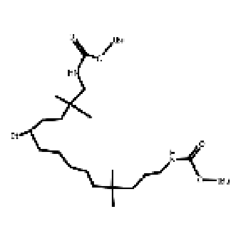 CCC(CCCCCC(C)(C)CCCNC(=O)OC(C)(C)C)CCC(C)(C)CNC(=O)OC(C)(C)C